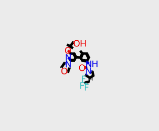 Cc1ccc(NC(=O)N2CC[C@@H](CC(F)(F)F)C2)cc1-c1cc(OC(C)(C)CO)nc(N2CCOCC2)c1